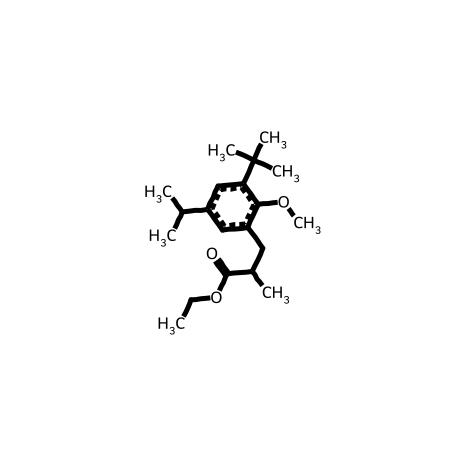 CCOC(=O)C(C)Cc1cc(C(C)C)cc(C(C)(C)C)c1OC